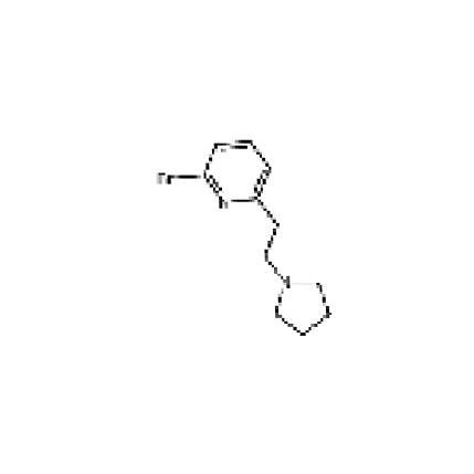 Brc1cccc(CCN2CCCC2)n1